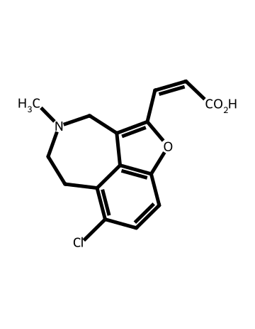 CN1CCc2c(Cl)ccc3oc(/C=C\C(=O)O)c(c23)C1